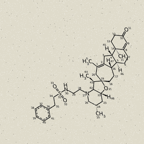 CC1=C2C[C@H]3[C@@H](CCC4=CC(=O)CC[C@@]43C)[C@@H]2CC[C@@]2(C1)O[C@@H]1C[C@H](C)CN(CCNS(=O)(=O)CCc3ccccc3)C1[C@H]2C